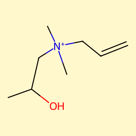 C=CC[N+](C)(C)CC(C)O